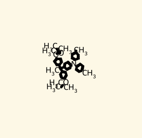 CCC(C)(C)Oc1ccc(C(C)(c2ccc(OC(=O)C(C)(C)C)cc2)c2ccc(N(c3ccc(C)cc3)c3ccc(C)cc3)cc2)cc1